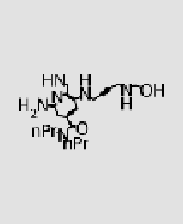 CCCN(CCC)C(=O)C1=CC(NCC#CCNCO)=C(C=N)N=C(N)C1